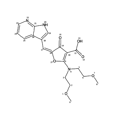 COCCN(CCOC)C1=C(C(=O)O)C(=O)C(=Cc2c[nH]c3ncccc23)O1